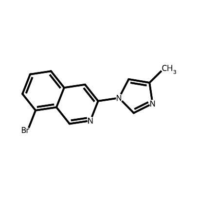 Cc1cn(-c2cc3cccc(Br)c3cn2)cn1